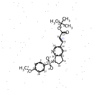 COc1ccc(S(=O)(=O)N2CCc3cc(/C=C/C(=O)OC(C)(C)C)cnc32)cc1